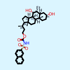 CC[C@H]1[C@@H](O)[C@@H]2[C@H](CC[C@]3(C)[C@@H]([C@H](C)CCOC(=O)NS(=O)(=O)c4ccc5ccccc5c4)CC[C@@H]23)[C@@]2(C)CC[C@@H](O)C[C@@H]12